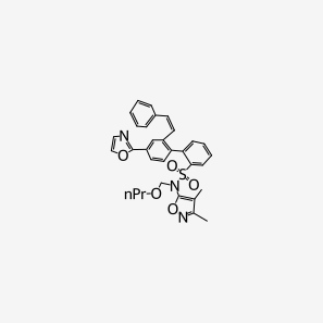 CCCOCN(c1onc(C)c1C)S(=O)(=O)c1ccccc1-c1ccc(-c2ncco2)cc1/C=C\c1ccccc1